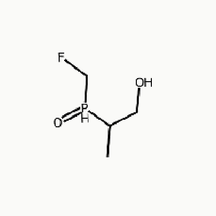 CC(CO)[PH](=O)CF